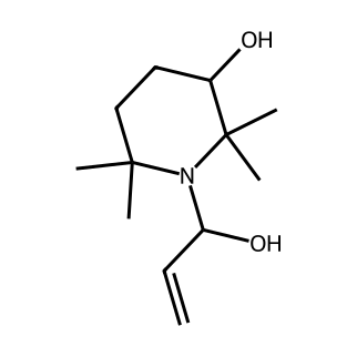 C=CC(O)N1C(C)(C)CCC(O)C1(C)C